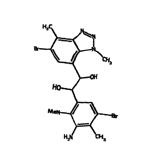 CNc1c(C(O)C(O)c2cc(Br)c(C)c3nnn(C)c23)cc(Br)c(C)c1N